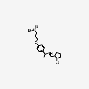 CCN(CC)CCCOc1ccc(C(C)NCC2CCCN2CC)cc1